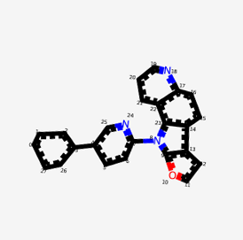 c1ccc(-c2ccc(-n3c4occc4c4ccc5ncccc5c43)nc2)cc1